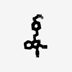 COc1ccc(CSc2nc(O)c(C#N)c3c2CCCC3)cc1